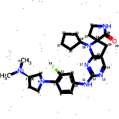 CN(C)[C@@H]1CCN(c2ccc(Nc3ncc4c(n3)N(C3CCCC3)C3(CCNC3=O)C4)cc2F)C1